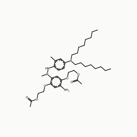 CCCCCCCCN(CCCCCCCC)c1ccc(NN(C)c2cc(OCCOC(C)=O)c(N)cc2OCCOC(C)=O)c(C)c1